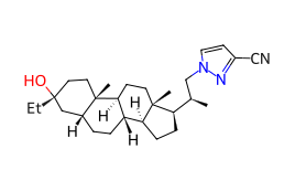 CC[C@@]1(O)CC[C@@]2(C)[C@H](CC[C@@H]3[C@@H]2CC[C@]2(C)[C@@H]([C@H](C)Cn4ccc(C#N)n4)CC[C@@H]32)C1